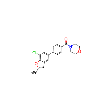 CCCc1cc2cc(-c3ccc(C(=O)N4CCOCC4)cc3)cc(Cl)c2o1